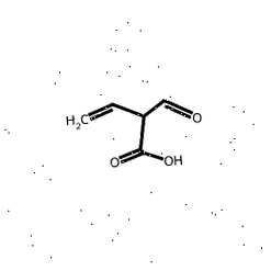 C=CC(C=O)C(=O)O